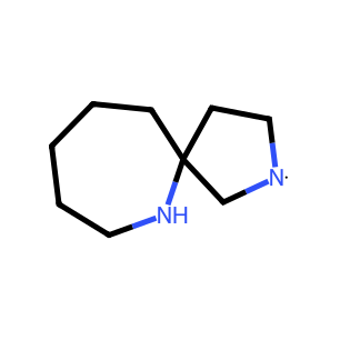 C1CCNC2(CC1)CC[N]C2